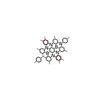 Cc1ccc(C2c3cc(C)cc4c3B3c5c2cc(C)cc5N(c2ccc(C)cc2)c2c3c(c3c5c2N(c2ccc(C)cc2)c2cc(C)cc6c2B5c2c(cc(C)cc2N3c2ccc(C)cc2)N6c2ccc(C)cc2)N4c2ccc(C)cc2)cc1